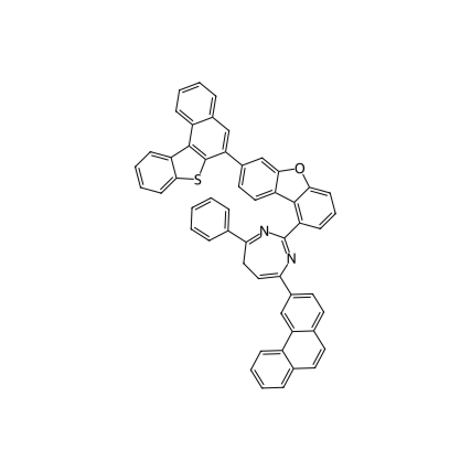 C1=C(c2ccc3ccc4ccccc4c3c2)N=C(c2cccc3oc4cc(-c5cc6ccccc6c6c5sc5ccccc56)ccc4c23)N=C(c2ccccc2)C1